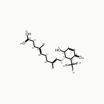 C/C(=C\C[C@@H]1C(O)C=CC(=O)C1C(F)(F)F)CC/C=C(\C)CCC(=O)O